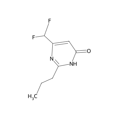 CCCc1nc(C(F)F)cc(=O)[nH]1